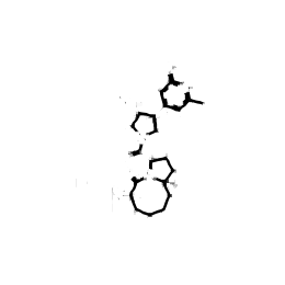 Cc1cc([C@H]2CN(C(=O)[C@@H]3CC[C@@H]4CCCC[C@H](NC(=O)O)C(=O)N43)C[C@@H]2C#N)cc(=O)[nH]1